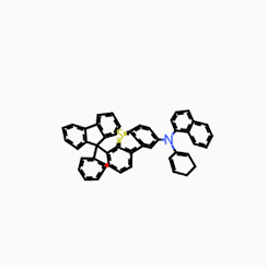 C1=CC(N(c2ccc3sc4c(C5(c6ccccc6)c6ccccc6-c6ccccc65)cccc4c3c2)c2cccc3ccccc23)=CCC1